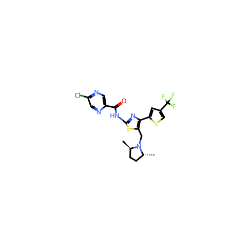 C[C@@H]1CC[C@@H](C)N1Cc1sc(NC(=O)c2cnc(Cl)cn2)nc1-c1cc(C(F)(F)F)cs1